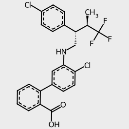 C[C@H]([C@H](CNc1cc(-c2ccccc2C(=O)O)ccc1Cl)c1ccc(Cl)cc1)C(F)(F)F